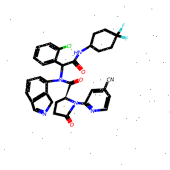 N#Cc1ccnc(N2C(=O)CC[C@H]2C(=O)N(c2cccc3c2CN=C3)C(C(=O)NC2CCC(F)(F)CC2)c2ccccc2Cl)c1